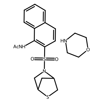 C1COCCN1.CC(=O)Nc1c(S(=O)(=O)N2CC3CC2CS3)ccc2ccccc12